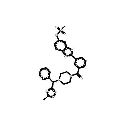 Cc1nnc(C(c2ccccc2)N2CCN(C(=O)c3cccc(-c4nc5cc(NS(C)(=O)=O)ccc5o4)c3)CC2)o1